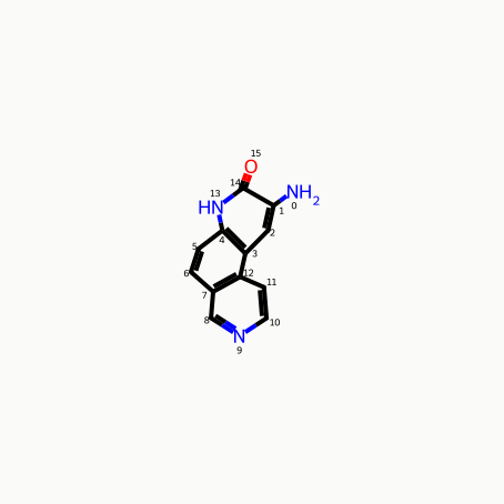 Nc1cc2c(ccc3cnccc32)[nH]c1=O